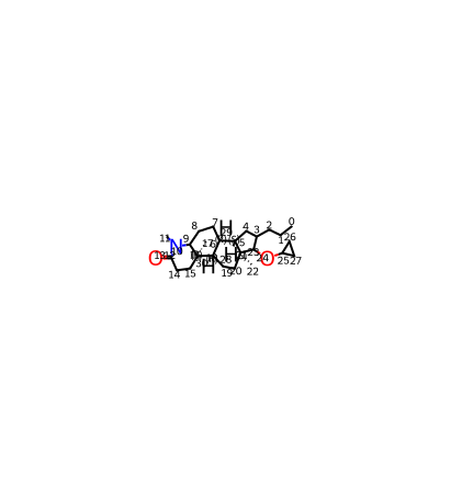 CCCC1C[C@H]2[C@@H]3CCC4N(C)C(=O)CC[C@]4(C)[C@@H]3CC[C@]2(C)C1OC1CC1